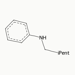 [CH2]CCC(C)CNc1ccccc1